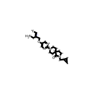 NC/C(=C\F)COc1cnc(N2CCC3(CCN(CC4CC4)C3=O)CC2)nc1